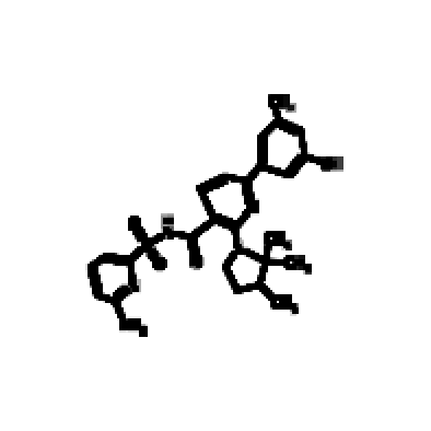 Cc1cc(O)cc(-c2ccc(C(=O)NS(=O)(=O)c3cccc(N)n3)c(N3CCC(C)C3(C)C)n2)c1